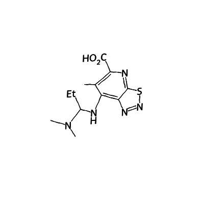 CCC(Nc1c(C)c(C(=O)O)nc2snnc12)N(C)C